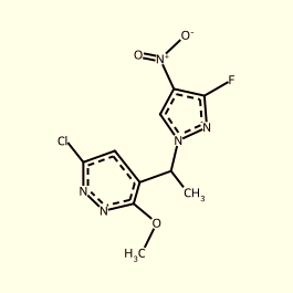 COc1nnc(Cl)cc1C(C)n1cc([N+](=O)[O-])c(F)n1